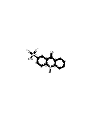 Cn1c2ccccc2c(=O)c2cc(S(=O)(=O)Cl)ccc21